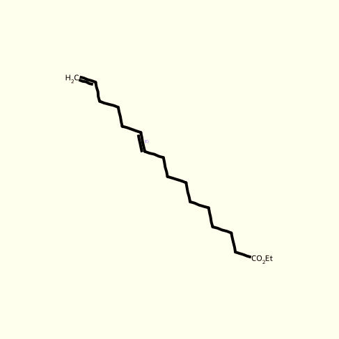 C=CCCC/C=C/CCCCCCCCC(=O)OCC